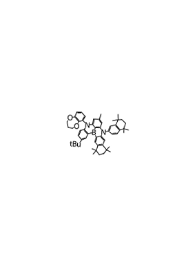 Cc1cc2c3c(c1)N(c1cccc4c1OCCCO4)c1ccc(C(C)(C)C)cc1B3c1cc3c(cc1N2c1ccc2c(c1)C(C)(C)CCC2(C)C)C(C)(C)CCC3(C)C